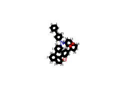 c1ccc(-c2ccc(N(c3ccccc3)c3ccc(-c4cccc5ccc6oc7cc(-c8ccccc8)ccc7c6c45)cc3)cc2)cc1